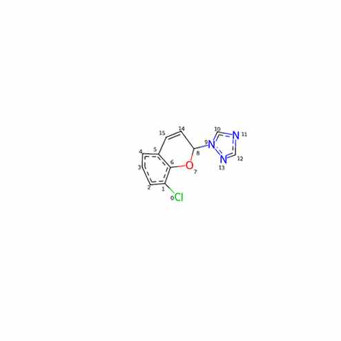 Clc1cccc2c1OC(n1cncn1)C=C2